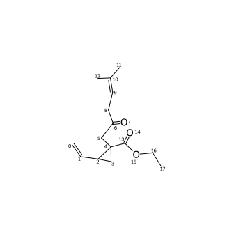 C=CC1CC1(CC(=O)CC=C(C)C)C(=O)OCC